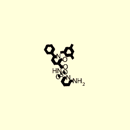 Cc1cc(C)c(Oc2nc(C3=CCCCC3)ccc2C(=O)NS(=O)(=O)c2cccc(N)n2)c(C)c1